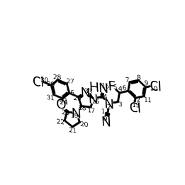 N#CN(CC(F)c1ccc(Cl)cc1Cl)C(=N)N1CC(N2CCCC2=O)C(c2ccc(Cl)cc2)=N1